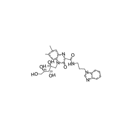 Cc1cc2nc(C(=O)NCCCn3cnc4ccccc43)c(=O)n(C[C@H](O)[C@H](O)[C@H](O)CO)c2cc1C